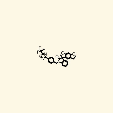 O=C1N(Cc2ccc(-c3noc(C(F)(F)F)n3)cc2)c2ccccc2C12COc1cc3c(cc12)CCO3